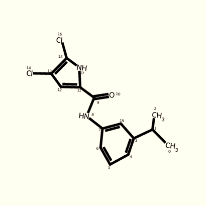 CC(C)c1cccc(NC(=O)c2cc(Cl)c(Cl)[nH]2)c1